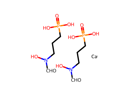 O=CN(O)CCCP(=O)(O)O.O=CN(O)CCCP(=O)(O)O.[Ca]